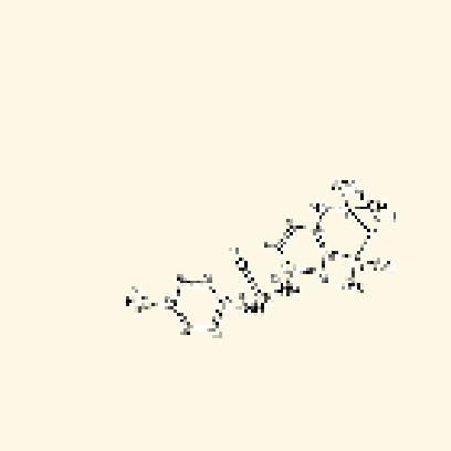 CCC1(CC)CC(C)(C)Oc2ccc(NC(=O)Nc3ccc(C(F)(F)F)cc3)cc21